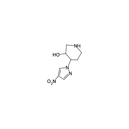 O=[N+]([O-])c1cnn(C2CCNCC2O)c1